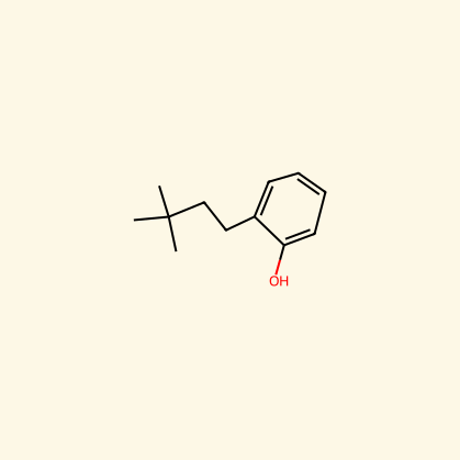 CC(C)(C)CCc1ccccc1O